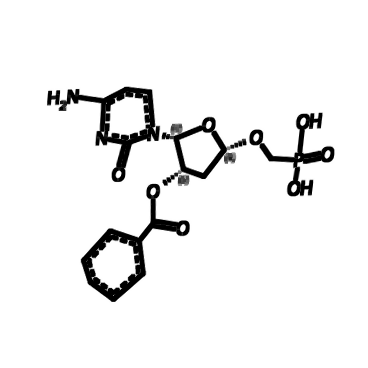 Nc1ccn([C@@H]2O[C@H](OCP(=O)(O)O)C[C@@H]2OC(=O)c2ccccc2)c(=O)n1